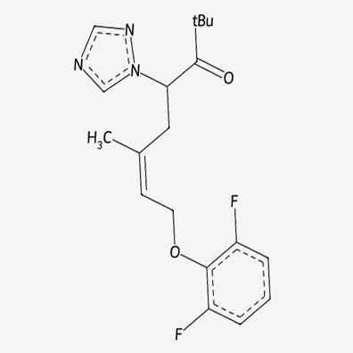 CC(=CCOc1c(F)cccc1F)CC(C(=O)C(C)(C)C)n1cncn1